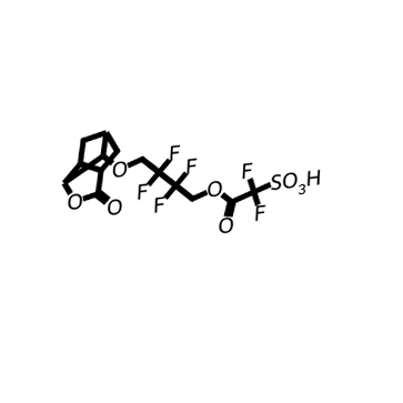 O=C1OC2C3CC(CC13)C2OCC(F)(F)C(F)(F)COC(=O)C(F)(F)S(=O)(=O)O